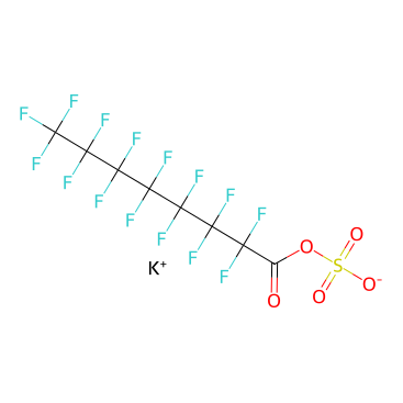 O=C(OS(=O)(=O)[O-])C(F)(F)C(F)(F)C(F)(F)C(F)(F)C(F)(F)C(F)(F)C(F)(F)F.[K+]